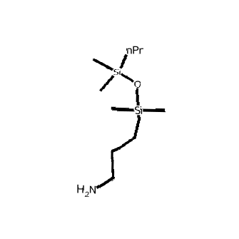 CCC[Si](C)(C)O[Si](C)(C)CCCN